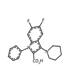 O=C(O)c1c(N2CCCCC2)c2cc(F)c(F)cc2n1-c1ccccc1